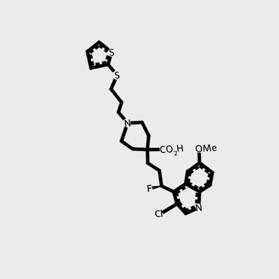 COc1ccc2ncc(Cl)c([C@@H](F)CCC3(C(=O)O)CCN(CCCSc4cccs4)CC3)c2c1